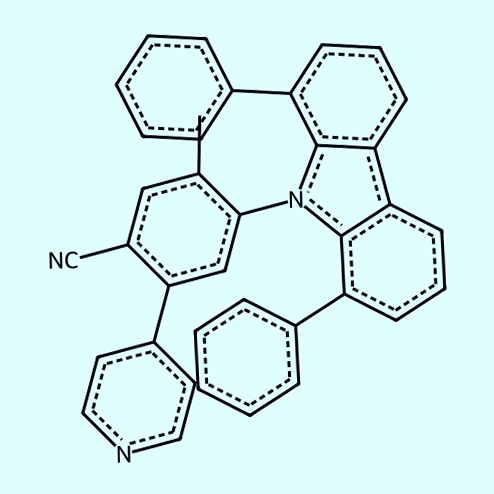 Cc1cc(C#N)c(-c2ccncc2)cc1-n1c2c(-c3ccccc3)cccc2c2cccc(-c3ccccc3)c21